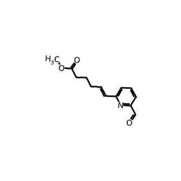 COC(=O)CCCC=Cc1cccc(C=O)n1